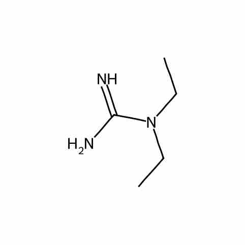 CCN(CC)C(=N)N